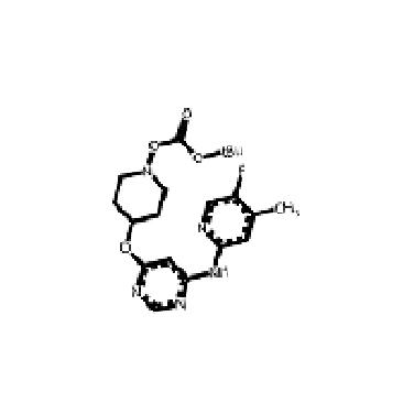 Cc1cc(Nc2cc(OC3CCN(OC(=O)OC(C)(C)C)CC3)ncn2)ncc1F